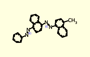 Cc1ccc(/N=N/c2ccc(/N=N/c3ccccc3)c3ccccc23)c2ccccc12